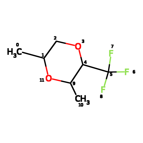 CC1COC(C(F)(F)F)C(C)O1